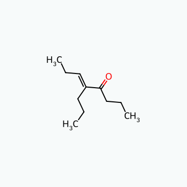 CC/C=C(\CCC)C(=O)CCC